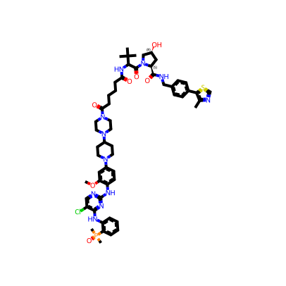 COc1cc(N2CCC(N3CCN(C(=O)CCCCC(=O)NC(C(=O)N4C[C@H](O)C[C@H]4C(=O)NCc4ccc(-c5scnc5C)cc4)C(C)(C)C)CC3)CC2)ccc1Nc1ncc(Cl)c(Nc2ccccc2P(C)(C)=O)n1